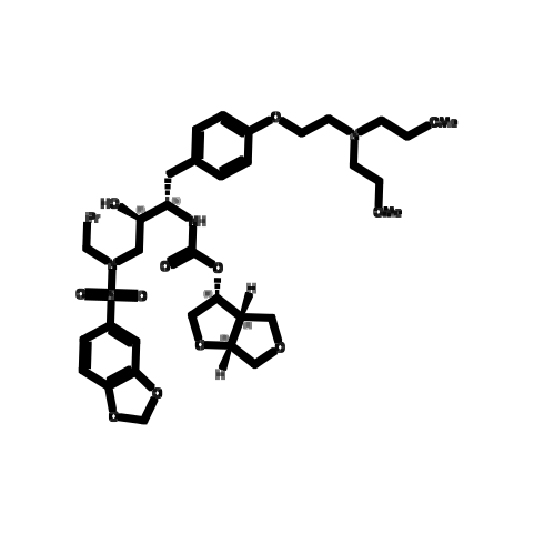 COCCN(CCOC)CCOc1ccc(C[C@H](NC(=O)O[C@H]2CO[C@H]3COC[C@H]32)[C@H](O)CN(CC(C)C)S(=O)(=O)c2ccc3c(c2)OCO3)cc1